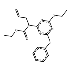 C=CCN(C(=O)OCC)c1nc(SCC)nc(Sc2ccccc2)n1